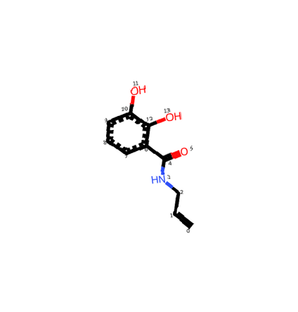 C=CCNC(=O)c1cccc(O)c1O